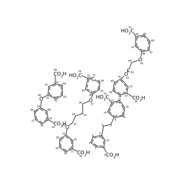 O=C(O)c1cccc(CCc2cccc(C(=O)O)c2)c1.O=C(O)c1cccc(OCCCCOc2cccc(C(=O)O)c2)c1.O=C(O)c1cccc(OCCOc2cccc(C(=O)O)c2)c1.O=C(O)c1cccc(Oc2cccc(C(=O)O)c2)c1